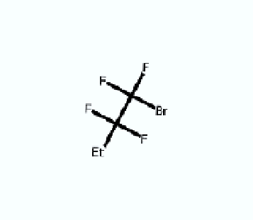 [CH2]CC(F)(F)C(F)(F)Br